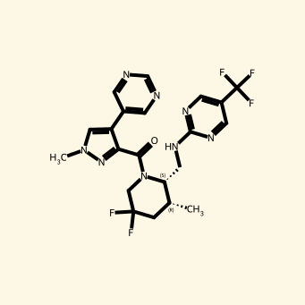 C[C@@H]1CC(F)(F)CN(C(=O)c2nn(C)cc2-c2cncnc2)[C@@H]1CNc1ncc(C(F)(F)F)cn1